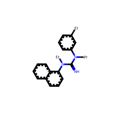 CCc1cccc(N(C(=N)N(CC)c2cccc3ccccc23)C(C)C)c1